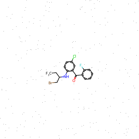 O=C(c1ccccc1F)c1cc(Cl)ccc1NC(CBr)CC(F)(F)F